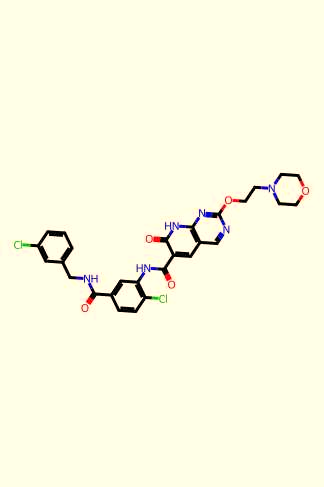 O=C(NCc1cccc(Cl)c1)c1ccc(Cl)c(NC(=O)c2cc3cnc(OCCN4CCOCC4)nc3[nH]c2=O)c1